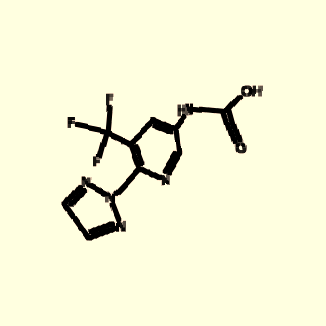 O=C(O)Nc1cnc(-n2nccn2)c(C(F)(F)F)c1